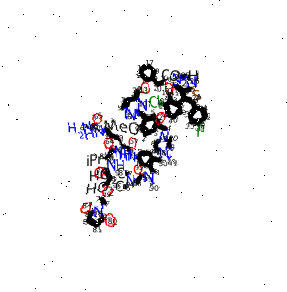 COc1ccccc1-c1nccc(COc2ccccc2C[C@@H](Oc2ncnc3sc(-c4ccc(F)cc4)c(-c4ccc(OCCN5CC[N+](C)(Cc6ccc(NC(=O)[C@H](CCCNC(N)=O)NC(=O)[C@@H](NC(=O)CCOCCN7C(=O)C=CC7=O)C(C)C)cc6CN(C)C(=O)CN(CC(=O)O)CC(=O)O)CC5)c(Cl)c4C)c23)C(=O)O)n1